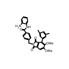 COc1cc2c(c(-c3cc(C)cc(C)c3)c1OC)C(=O)N(Cc1ccc(C(=O)Nc3ccccc3N)cc1)C2=O